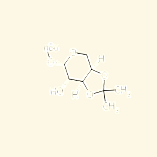 CCCCO[C@@H]1OC[C@H]2OC(C)(C)O[C@H]2[C@@H]1O